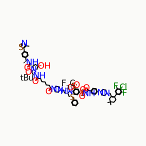 Cc1ncsc1-c1ccc([C@H](C)NC(=O)[C@@H]2C[C@@H](O)CN2C(=O)[C@@H](NC(=O)CCCCCC(=O)N2CCN(CC[C@H](CSc3ccccc3)Nc3ccc(S(=O)(=O)NC(=O)c4ccc(N5CCN(CC6=C(c7cc(F)c(Cl)c(F)c7)CCC(C)(C)C6)CC5)cc4)cc3S(=O)(=O)C(F)(F)F)CC2)C(C)(C)C)cc1